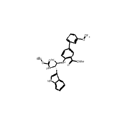 COC(=O)c1cc(-c2cccc(OC(F)(F)F)c2)ccc1NC(C#N)[C@H](Cc1c[nH]c2ccccc12)NC(=O)OC(C)(C)C